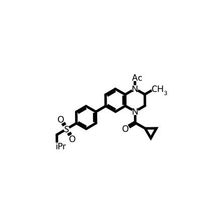 CC(=O)N1c2ccc(-c3ccc(S(=O)(=O)CC(C)C)cc3)cc2N(C(=O)C2CC2)CC1C